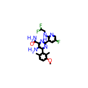 COc1ccc(C)c(-c2nc(-c3cc(F)cnc3NCC(F)F)nc(C(N)=O)c2N)c1C